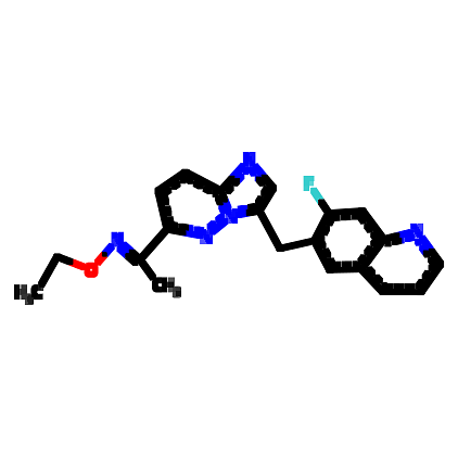 CCO/N=C(\C)c1ccc2ncc(Cc3cc4cccnc4cc3F)n2n1